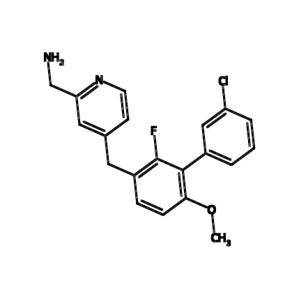 COc1ccc(Cc2ccnc(CN)c2)c(F)c1-c1cccc(Cl)c1